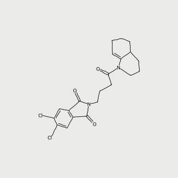 O=C(CCCN1C(=O)c2cc(Cl)c(Cl)cc2C1=O)N1CCCC2CCCC=C21